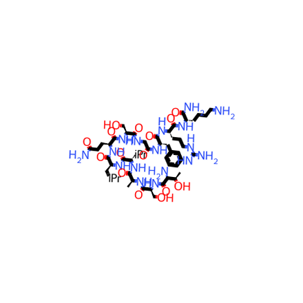 CC(C)C[C@H](NC(=O)[C@@H](NC(=O)[C@H](C)NC(=O)[C@H](CO)NC(=O)[C@@H](N)[C@@H](C)O)C(C)C)C(=O)N[C@@H](CCC(N)=O)C(=O)N[C@@H](CO)C(=O)NCC(=O)N[C@@H](Cc1ccccc1)C(=O)N[C@@H](CCCNC(=N)N)C(=O)N[C@@H](CCCCN)C(N)=O